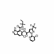 CCC(C)(C)NC(=O)c1c(NC(=O)c2cc(C(F)(F)F)nn2-c2ncccc2Cl)c(Cl)cc2cn[nH]c12